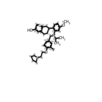 COc1ccc(C2CCc3cc(O)ccc3C2)c(N(Cc2ccc(OCCN3CCCC3)c(F)c2)C(C)C)c1